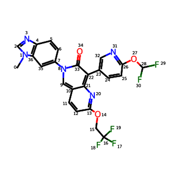 Cn1cnc2ccc(-n3cc4ccc(OCC(F)(F)F)nc4c(-c4ccc(OC(F)F)nc4)c3=O)cc21